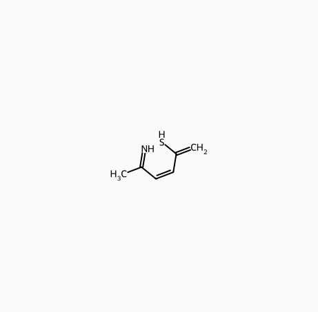 C=C(S)/C=C\C(C)=N